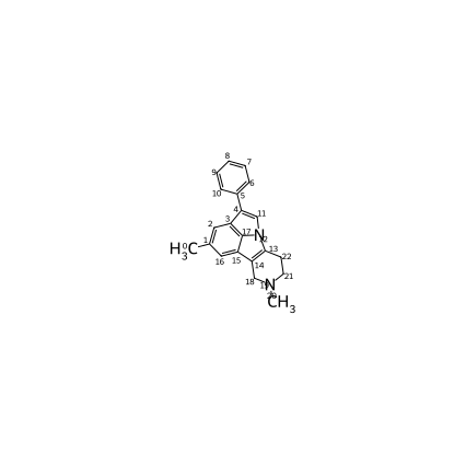 Cc1cc2c(-c3ccccc3)cn3c4c(c(c1)c23)CN(C)CC4